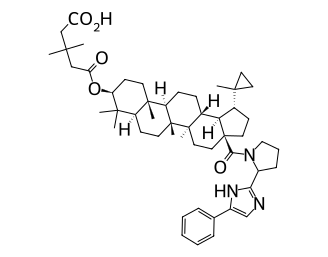 CC(C)(CC(=O)O)CC(=O)O[C@H]1CC[C@]2(C)[C@H]3CC[C@@H]4[C@H]5[C@H](C6(C)CC6)CC[C@]5(C(=O)N5CCCC5c5ncc(-c6ccccc6)[nH]5)CC[C@@]4(C)[C@]3(C)CC[C@H]2C1(C)C